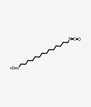 CCCCCCCCCCCCCCCCCCCCCCCCN=C=O